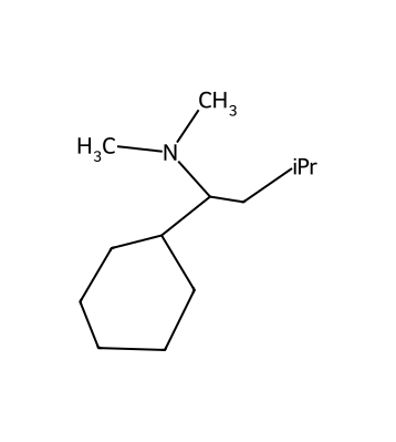 CC(C)CC(C1CCCCC1)N(C)C